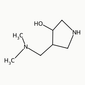 CN(C)CC1CNCC1O